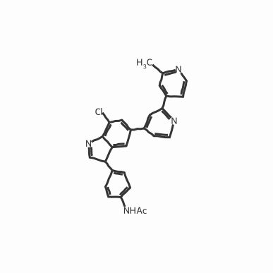 CC(=O)Nc1ccc(C2C=Nc3c(Cl)cc(-c4ccnc(-c5ccnc(C)c5)c4)cc32)cc1